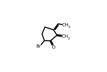 C=C1C(=O)C(Br)CC/C1=C/C